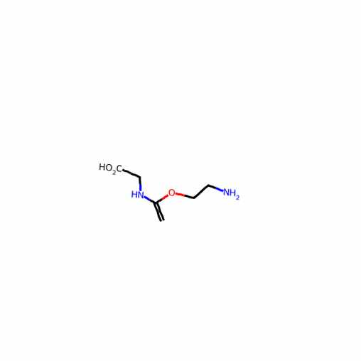 C=C(NCC(=O)O)OCCN